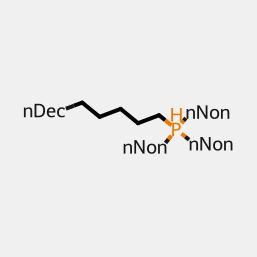 CCCCCCCCCCCCCCC[PH](CCCCCCCCC)(CCCCCCCCC)CCCCCCCCC